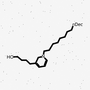 CCCCCCCCCCCCCCCCCCN1C=CC=C(CCCCO)C1